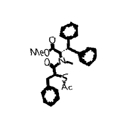 COC(=O)[C@H](C(c1ccccc1)c1ccccc1)N(C)C(=O)C(Cc1ccccc1)SC(C)=O